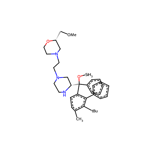 COC[C@@H]1CN(CCN2CCN[C@@H](C(O[SiH3])(c3ccccc3)c3ccc(C)c(C(C)(C)C)c3-c3ccccc3)C2)CCO1